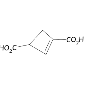 O=C(O)C1=CC(C(=O)O)C1